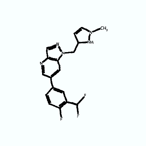 CN1C=CC(Cn2ncc3ncc(-c4ccc(F)c(C(F)F)c4)cc32)N1